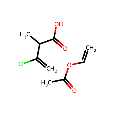 C=C(Cl)C(C)C(=O)O.C=COC(C)=O